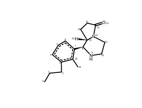 CCCc1cccc([C@@H]2NCCN3C(=O)CC[C@@H]23)c1C